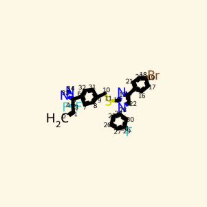 C=CC(F)(F)C1(c2ccc(CSc3nc(-c4ccc(Br)cc4)cn3-c3cccc(F)c3)cc2)N=N1